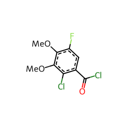 COc1c(F)cc(C(=O)Cl)c(Cl)c1OC